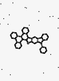 c1ccc(-n2c3ccccc3c3cc4c(cc32)oc2c4c3ccccc3c3c4ccccc4c4ccccc4c23)cc1